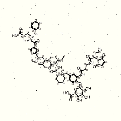 CC[C@H](C)[C@H](NC(=O)[C@H]1CCCC[N+]1(C)Cc1ccc(O[C@@H]2O[C@H](C(=O)O)[C@@H](O)[C@H](O)[C@H]2O)c(NC(=O)CCNC(=O)[C@H](CN)N2C(=O)C=CC2=O)c1)C(=O)N(C)[C@H](C[C@@H](OC)c1nc(C(=O)N[C@@H](Cc2ccccc2)C[C@H](C)C(=O)O)cs1)C(C)C